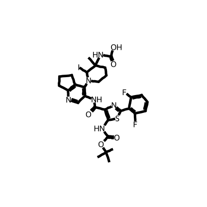 CC(C)(C)OC(=O)Nc1sc(-c2c(F)cccc2F)nc1C(=O)Nc1cnc2c(c1N1CCCC(C)(NC(=O)O)C1I)CCC2